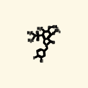 COc1c(C)c(S(=O)(=O)N(C)C)c2c(c1OC)C(=O)N(Cc1ccc(F)c(Cl)c1)C2